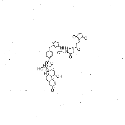 C[C@@H](NC(=O)CCN1C(=O)C=CC1=O)C(=O)N[C@H](C)C(=O)Nc1cccc(Cc2ccc([C@@H]3O[C@@H]4CC5[C@@H]6CCC7=CC(=O)C=C[C@]7(C)C6[C@@H](O)C[C@]5(C)[C@]4(C(=O)CO)O3)cc2)c1